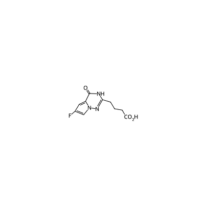 O=C(O)CCCc1nn2cc(F)cc2c(=O)[nH]1